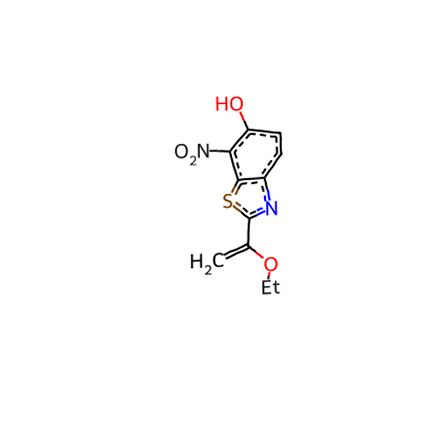 C=C(OCC)c1nc2ccc(O)c([N+](=O)[O-])c2s1